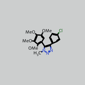 COc1cc(-c2c(-c3ccc(Cl)cc3)nnn2C)c(OC)c(OC)c1OC